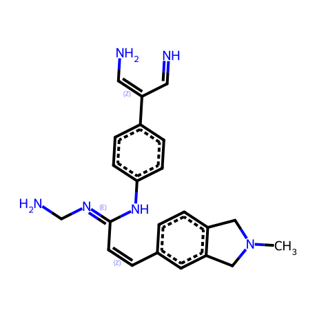 CN1Cc2ccc(/C=C\C(=N/CN)Nc3ccc(/C(C=N)=C/N)cc3)cc2C1